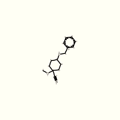 COC1(C#N)CCC(OCc2ccccc2)CC1